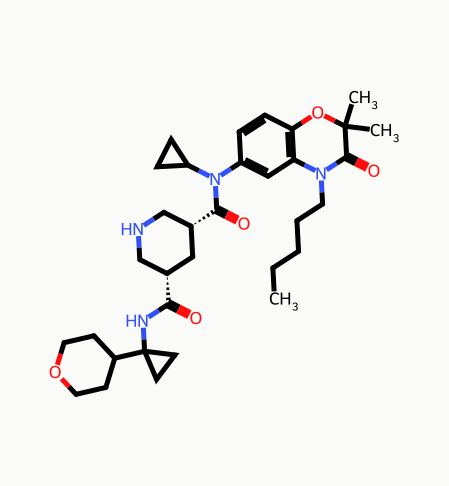 CCCCCN1C(=O)C(C)(C)Oc2ccc(N(C(=O)[C@H]3CNC[C@@H](C(=O)NC4(C5CCOCC5)CC4)C3)C3CC3)cc21